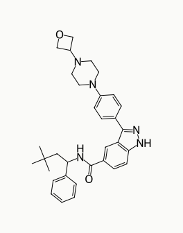 CC(C)(C)CC(NC(=O)c1ccc2[nH]nc(-c3ccc(N4CCN(C5COC5)CC4)cc3)c2c1)c1ccccc1